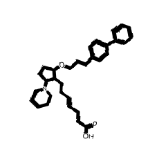 O=C(O)CCC=CCCC1C(OCCCc2ccc(-c3ccccc3)cc2)CCC1N1CCCCC1